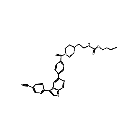 CCCCOC(=O)NCCC1CCN(C(=O)c2ccc(-c3cn4c(-c5ccc(C#N)cc5)cnc4cn3)cc2)CC1